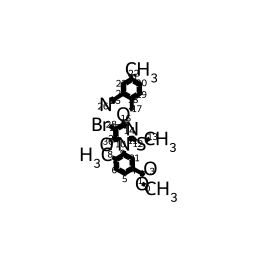 COC(=O)c1ccc(C)c(-n2c(SC)nc(OCc3ccc(C)cc3C#N)c(Br)c2=O)c1